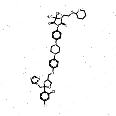 CC1(C)C(=O)N(c2ccc(N3CCN(c4ccc(OCC5COC(Cn6cncn6)(c6ccc(Cl)cc6Cl)O5)cc4)CC3)cc2)C(=O)N1CCOC1CCCCO1